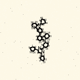 c1ccc(-c2cc(-c3ccccc3)nc(-c3cccc(-n4c5ccccc5c5c(-c6ccc7c(c6)c6ncccc6n7-c6ccccc6)cccc54)c3)n2)cc1